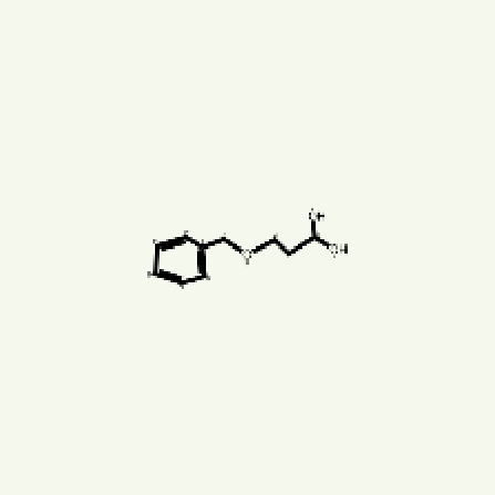 OC(O)CCOCc1ccccc1